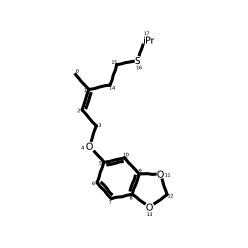 CC(=CCOc1ccc2c(c1)OCO2)CCSC(C)C